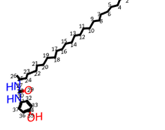 CCCCCCCCCCCCCCCCCCCCCCCCCCCCCCCCCCC(C)NC(=O)Nc1ccc(O)cc1